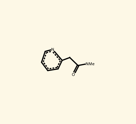 CNC(=O)[CH]c1ccccn1